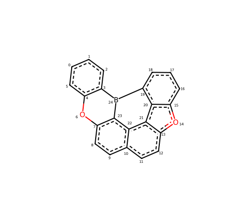 c1ccc2c(c1)Oc1ccc3ccc4oc5cccc6c5c4c3c1B26